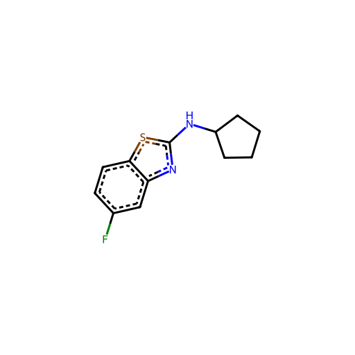 Fc1ccc2sc(NC3CCCC3)nc2c1